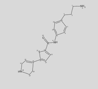 NCCCc1ccc(NC(=O)c2ccc(C3=CCNCC3)s2)cc1